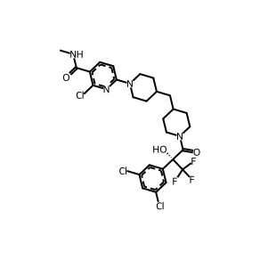 CNC(=O)c1ccc(N2CCC(CC3CCN(C(=O)[C@](O)(c4cc(Cl)cc(Cl)c4)C(F)(F)F)CC3)CC2)nc1Cl